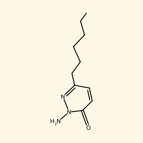 CCCCCCc1ccc(=O)n(N)n1